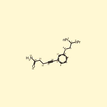 CCCC(CCC)CSc1cccc(C#CCCC(N)=O)c1